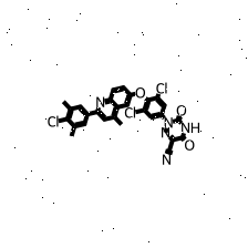 Cc1cc(-c2cc(C)c3cc(Oc4c(Cl)cc(-n5nc(C#N)c(=O)[nH]c5=O)cc4Cl)ccc3n2)cc(C)c1Cl